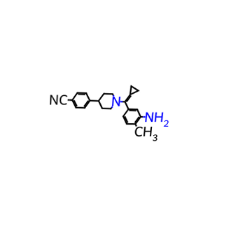 Cc1ccc(C(=C2CC2)N2CCC(c3ccc(C#N)cc3)CC2)cc1N